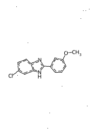 COc1cccc(-c2nc3ccc(Cl)cc3[nH]2)c1